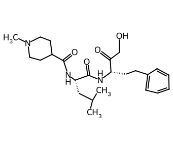 CC(C)C[C@H](NC(=O)C1CCN(C)CC1)C(=O)N[C@@H](CCc1ccccc1)C(=O)CO